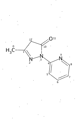 CC1=NN(c2ccccn2)C(=O)C1